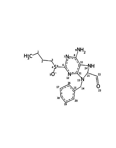 CCCC[S+]([O-])c1nc(N)c2c(n1)N(Cc1ccccc1)C(C=O)N2